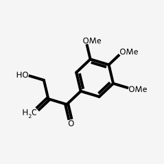 C=C(CO)C(=O)c1cc(OC)c(OC)c(OC)c1